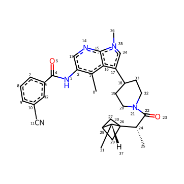 Cc1c(NC(=O)c2cccc(C#N)c2)cnc2c1c(C1CCN(C(=O)[C@H](C)C34CC(C3)[C@H]4C)CC1)cn2C